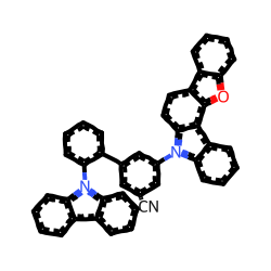 N#Cc1cc(-c2ccccc2-n2c3ccccc3c3ccccc32)cc(-n2c3ccccc3c3c4oc5ccccc5c4ccc32)c1